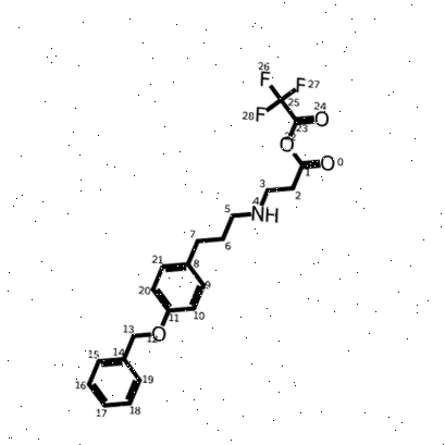 O=C(CCNCCCc1ccc(OCc2ccccc2)cc1)OC(=O)C(F)(F)F